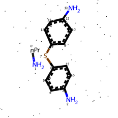 CCCN.Nc1ccc(Sc2ccc(N)cc2)cc1